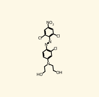 O=[N+]([O-])c1cc(Cl)c(N=Nc2ccc(N(CCO)CCO)cc2Cl)c(Cl)c1